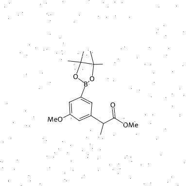 COC(=O)C(C)c1cc(OC)cc(B2OC(C)(C)C(C)(C)O2)c1